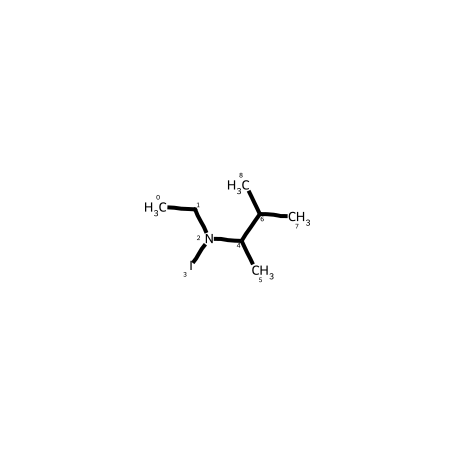 CCN(I)C(C)C(C)C